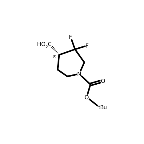 CC(C)(C)OC(=O)N1CC[C@H](C(=O)O)C(F)(F)C1